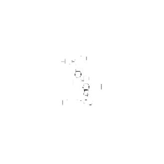 CCC(CC)(c1ccc(OC[C@@H](O)C(C)(C)C)c(C)c1)c1cc(C)c2oc(C(=O)N(C)CC(=O)O)cc2c1